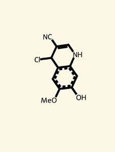 COc1cc2c(cc1O)NC=C(C#N)C2Cl